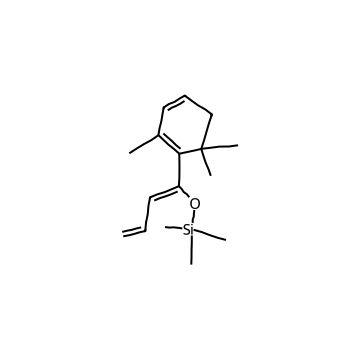 C=CC=C(O[Si](C)(C)C)C1=C(C)C=CCC1(C)C